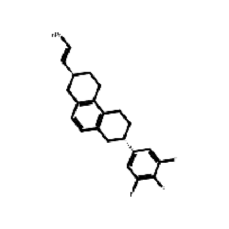 CCCC=C[C@H]1CCc2c(ccc3c2CC[C@H](c2cc(F)c(F)c(F)c2)C3)C1